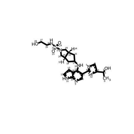 CC(O)c1cnc(-c2cnc3[nH]ccc3c2NC2C[C@@H]3CN(S(=O)(=O)NCCO)C[C@@H]3C2)[se]1